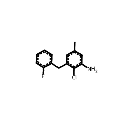 Cc1cc(N)c(Cl)c(Cc2ccccc2F)c1